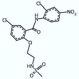 CS(=O)(=O)NCCOc1ccc(Cl)cc1C(=O)Nc1ccc([N+](=O)[O-])cc1Cl